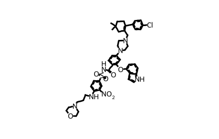 CC1(C)CCC(c2ccc(Cl)cc2)=C(CN2CCN(c3ccc(C(=O)NS(=O)(=O)c4ccc(NCCCN5CCOCC5)c([N+](=O)[O-])c4)c(Oc4cccc5[nH]ccc45)c3)CC2)C1